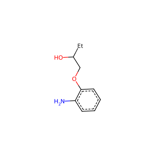 CCC(O)COc1ccccc1N